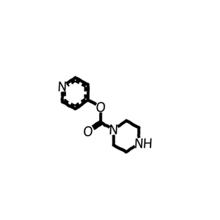 O=C(Oc1ccncc1)N1CCNCC1